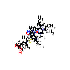 C=C(S/C=C(\CC)CC(C)(C)C(=O)O)[C@](C)(C(=O)CC)C(/C(C)=C/CC)=C(N)/N=C(C)/C(=C\CC)C(/C=C\C)=C(/C)C(C)C